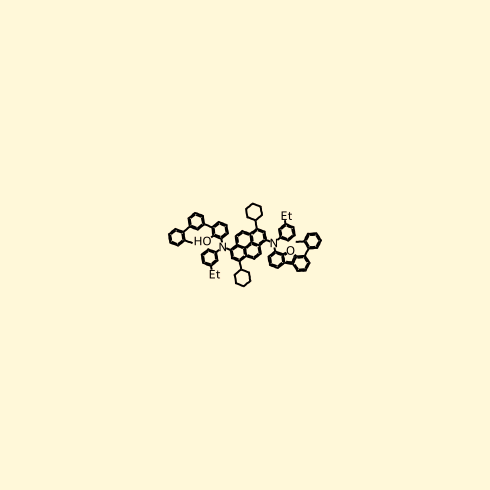 CCc1cccc(N(c2cccc(-c3cccc(-c4ccccc4C)c3)c2O)c2cc(C3CCCCC3)c3ccc4c(N(c5cccc(CC)c5)c5cccc6c5oc5c(-c7ccccc7C)cccc56)cc(C5CCCCC5)c5ccc2c3c54)c1